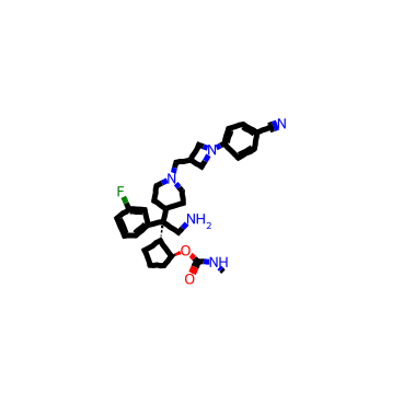 CNC(=O)O[C@H]1CCC[C@@H]1C(CN)(c1cccc(F)c1)C1CCN(CC2CN(c3ccc(C#N)cc3)C2)CC1